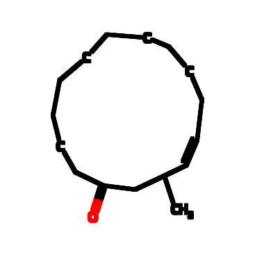 CC1C=CCCCCCCCCCCC(=O)C1